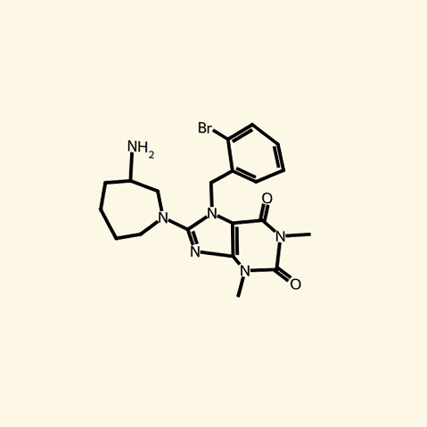 Cn1c(=O)c2c(nc(N3CCCCC(N)C3)n2Cc2ccccc2Br)n(C)c1=O